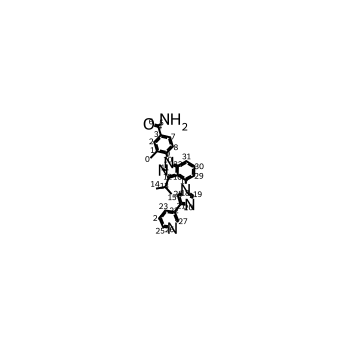 Cc1cc(C(N)=O)ccc1-n1nc(C(C)C)c2c(-n3cnc(-c4cccnc4)c3)cccc21